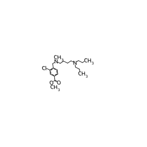 CCCN(CCC)CCCCN(C)Cc1ccc(C(=O)OC)cc1Cl